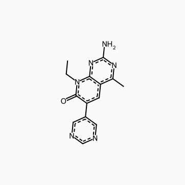 CCn1c(=O)c(-c2cncnc2)cc2c(C)nc(N)nc21